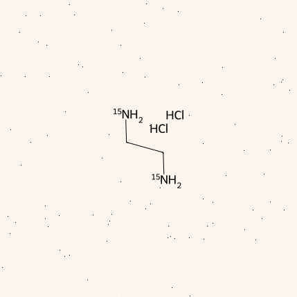 Cl.Cl.[15NH2]CC[15NH2]